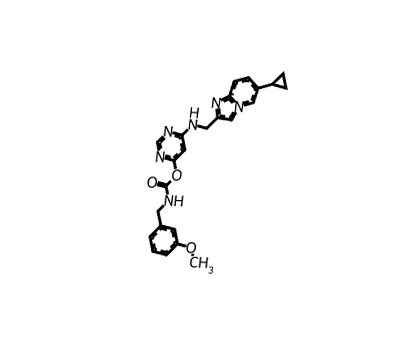 COc1cccc(CNC(=O)Oc2cc(NCc3cn4cc(C5CC5)ccc4n3)ncn2)c1